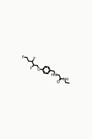 CCNC(=O)CNCc1ccc(OCC(F)C(F)CCF)cc1